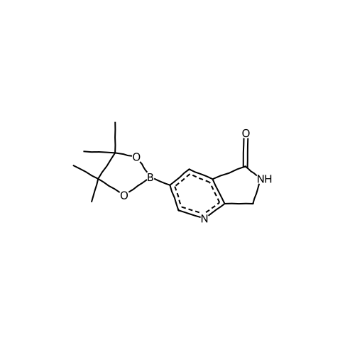 CC1(C)OB(c2cnc3c(c2)C(=O)NC3)OC1(C)C